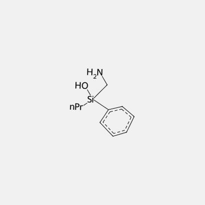 CCC[Si](O)(CN)c1ccccc1